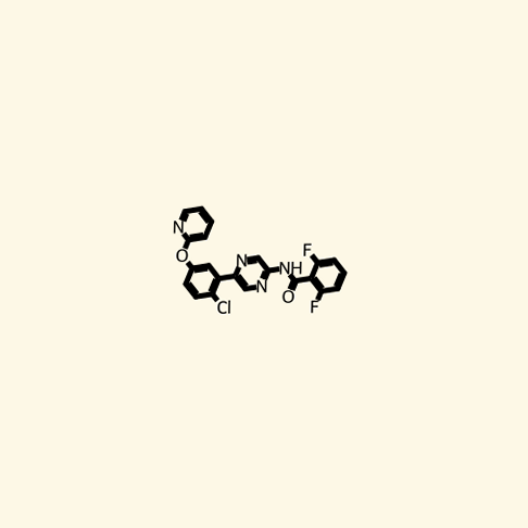 O=C(Nc1cnc(-c2cc(Oc3ccccn3)ccc2Cl)cn1)c1c(F)cccc1F